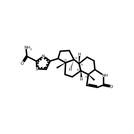 C[C@]12C=CC(=O)NC1CC[C@@H]1[C@H]2CC[C@]2(C)C(c3csc(C(N)=O)n3)CC[C@@H]12